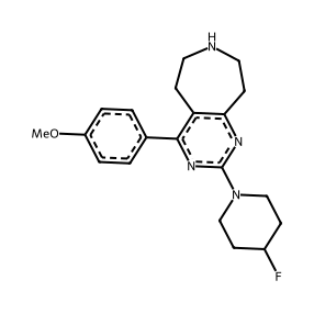 COc1ccc(-c2nc(N3CCC(F)CC3)nc3c2CCNCC3)cc1